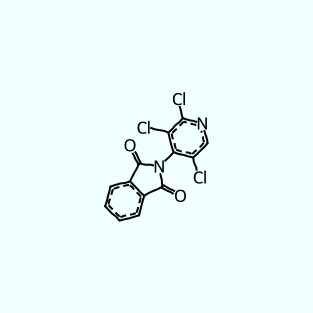 O=C1c2ccccc2C(=O)N1c1c(Cl)cnc(Cl)c1Cl